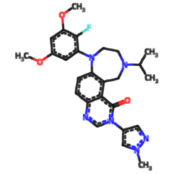 COc1cc(OC)c(F)c(N2CCN(C(C)C)Cc3c2ccc2ncn(-c4cnn(C)c4)c(=O)c32)c1